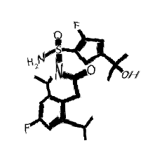 CC(C)c1cc(F)cc(C(C)C)c1CC(=O)N=S(N)(=O)C1=C(F)C=C(C(C)(C)O)C1